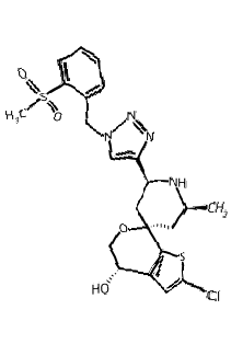 C[C@H]1C[C@@]2(C[C@@H](c3cn(Cc4ccccc4S(C)(=O)=O)nn3)N1)OC[C@@H](O)c1cc(Cl)sc12